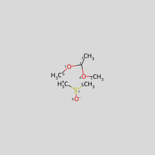 COC(C)OC.C[S+](C)[O-]